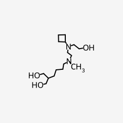 CN(CCCCC(CO)CO)CCN(CCO)C1CCC1